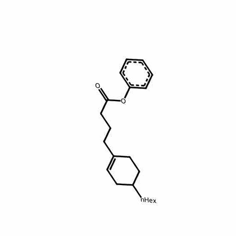 CCCCCCC1CC=C(CCCC(=O)Oc2ccccc2)CC1